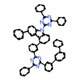 c1ccc(-c2cccc(-c3cccc(-c4nc(-c5ccccc5)nc(-c5cccc(-c6cccc7c6c6cc(-c8ccccc8)ccc6n7-c6nc(-c7ccccc7)nc(-c7ccccc7)n6)c5)n4)c3)c2)cc1